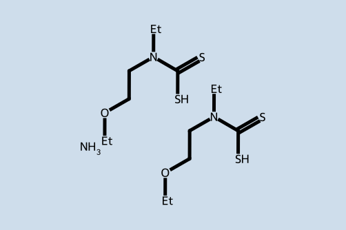 CCOCCN(CC)C(=S)S.CCOCCN(CC)C(=S)S.N